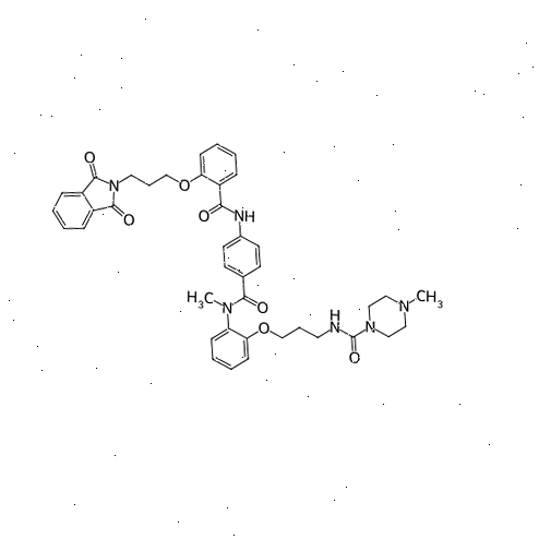 CN1CCN(C(=O)NCCCOc2ccccc2N(C)C(=O)c2ccc(NC(=O)c3ccccc3OCCCN3C(=O)c4ccccc4C3=O)cc2)CC1